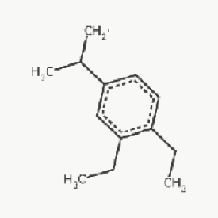 [CH2]C(C)c1ccc(CC)c(CC)c1